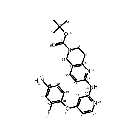 CC(C)(C)OC(=O)N1CCc2nc(Nc3cc(Oc4ccc(N)cc4F)ccn3)ccc2C1